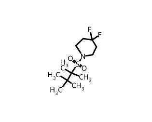 CC(C)(C)C(C)(C)S(=O)(=O)N1CCC(F)(F)CC1